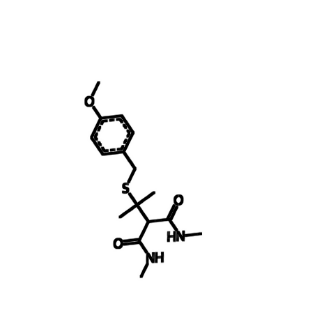 CNC(=O)C(C(=O)NC)C(C)(C)SCc1ccc(OC)cc1